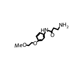 COCCOc1ccc(NC(=O)CCN)cc1